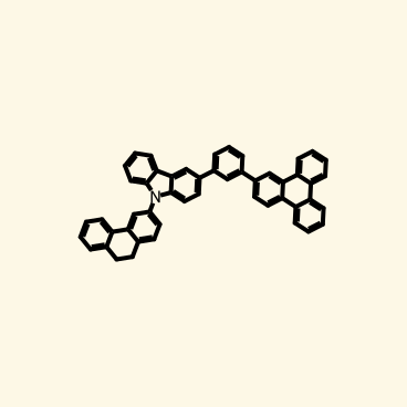 c1cc(-c2ccc3c4ccccc4c4ccccc4c3c2)cc(-c2ccc3c(c2)c2ccccc2n3-c2ccc3c(c2)-c2ccccc2CC3)c1